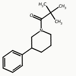 CC(C)(C)C(=O)N1CCCC(c2ccccc2)C1